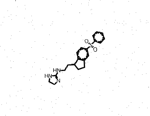 O=S(=O)(c1ccccc1)c1ccc2c(c1)CCC2CCNC1=NCCN1